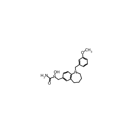 COc1cccc(CN2CCCCc3cc(CN(O)C(N)=O)ccc32)c1